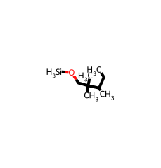 CCC(C)C(C)(C)CO[SiH3]